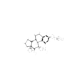 CCCCOc1ccc2c(c1)CCC1C2[C@@H](C)C[C@]2(C)CCCC12